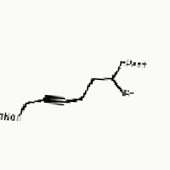 [CH2]CCCCCCCCCC#CCCC(CCCC[CH2])C(C)C